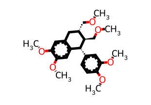 COC[C@H]1Cc2cc(OC)c(OC)cc2[C@@H](c2ccc(OC)c(OC)c2)[C@@H]1COC